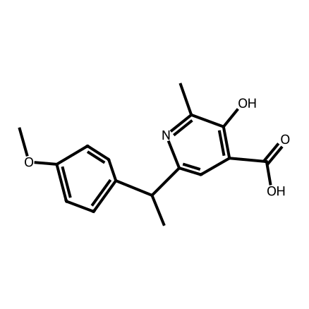 COc1ccc(C(C)c2cc(C(=O)O)c(O)c(C)n2)cc1